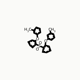 Cc1cccc(Oc2ccccc2S(=O)(=O)c2ccccc2Oc2cccc(C)c2)c1